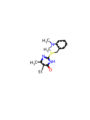 CCc1c(C)nc(SCc2ccccc2N(C)C)[nH]c1=O